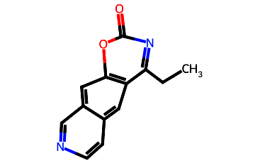 CCc1nc(=O)oc2cc3cnccc3cc12